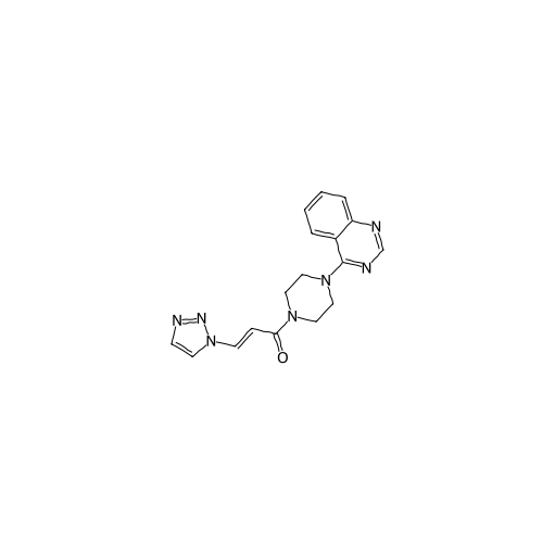 O=C(C=Cn1ccnn1)N1CCN(c2ncnc3ccccc23)CC1